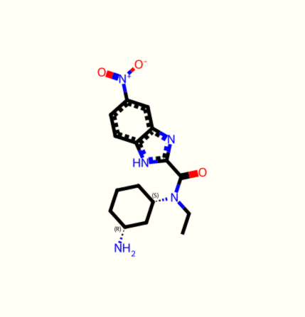 CCN(C(=O)c1nc2cc([N+](=O)[O-])ccc2[nH]1)[C@H]1CCC[C@@H](N)C1